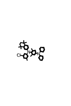 Cc1cc(Cl)cc(N(c2ccc3c(c2)C(C)(C)CCC3(C)C)c2c(C)cc(N(c3ccccc3)c3ccccc3)cc2C)c1